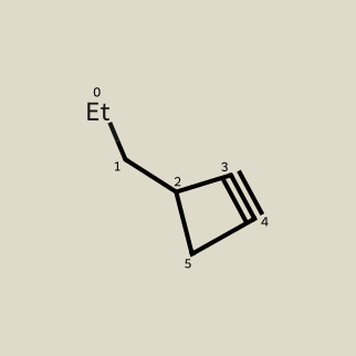 CCCC1C#CC1